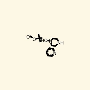 CC(C)(C)OC=O.ON1CCNCC1.c1ccncc1